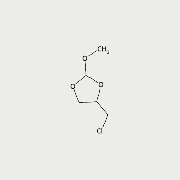 COC1OCC(CCl)O1